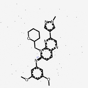 COc1cc(/N=c2\ccc3ncc(-c4cnn(C)c4)nc3n2CC2CCCCO2)cc(OC)c1